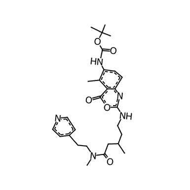 Cc1c(NC(=O)OC(C)(C)C)ccc2nc(NCCC(C)CC(=O)N(C)CCc3ccncc3)oc(=O)c12